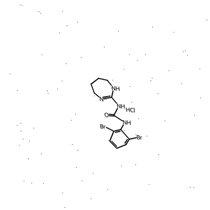 Cl.O=C(NC1=NCCCCN1)Nc1c(Br)cccc1Br